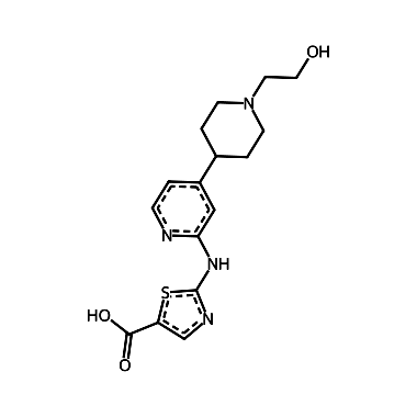 O=C(O)c1cnc(Nc2cc(C3CCN(CCO)CC3)ccn2)s1